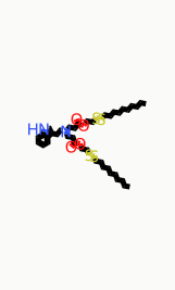 CCCCCCCCCCSSCCOC(=O)CCN(CCC(=O)OCCSSCCCCCCCCCC)CCc1c[nH]c2ccccc12